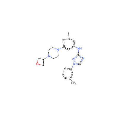 Cc1cc(Nc2ncn(-c3cccc(C(F)(F)F)c3)n2)cc(N2CCN(C3COC3)CC2)c1